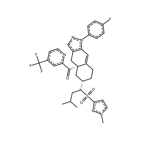 CC(C)CN([C@H]1CCC2=Cc3c(cnn3-c3ccc(F)cc3)C[C@]2(C(=O)c2cc(C(F)(F)F)ccn2)C1)S(=O)(=O)c1ccn(C)n1